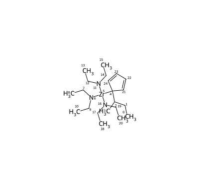 CCC(C)[C]1([Zr]([N](CC)CC)([N](CC)CC)[N](CC)CC)C=CC=C1